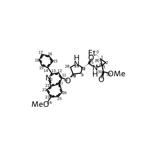 CC[C@@H]1C[C@]1(NC(=O)[C@@H]1C[C@@H](Oc2cc(-c3ccccc3)nc3cc(OC)ccc23)CN1)C(=O)OC